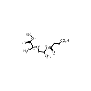 CC(CON(C)C(=O)OC(C)(C)C)OC(=O)CCC(=O)O